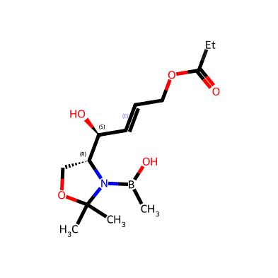 CCC(=O)OC/C=C/[C@H](O)[C@H]1COC(C)(C)N1B(C)O